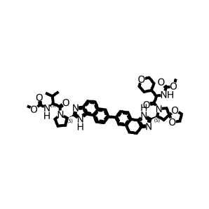 COC(=O)NC(C(=O)N1CC2(C[C@H]1c1nc3c([nH]1)-c1ccc(-c4ccc5c(ccc6nc([C@@H]7CCCN7C(=O)[C@@H](NC(=O)OC)C(C)C)[nH]c65)c4)cc1CC3)OCCO2)C1CCOCC1